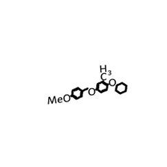 COc1ccc(COc2ccc(OC3CCCCC3)c(C)c2)cc1